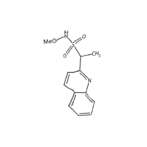 CONS(=O)(=O)C(C)c1ccc2ccccc2n1